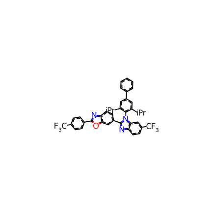 CC(C)c1cc(-c2ccccc2)cc(C(C)C)c1-n1c(-c2ccc3nc(-c4ccc(C(F)(F)F)cc4)oc3c2)nc2ccc(C(F)(F)F)cc21